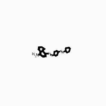 Nc1ccc(N=Nc2ccc(N=Nc3ccccc3)cc2)c2ccccc12